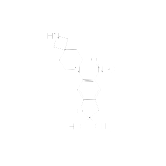 CC1(C)Cc2cc([N+](=O)[O-])c(N3CCC4(CC3)CNC4)cc2O1